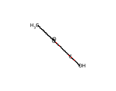 CCCCCCCCC=CCCCCCCCCCCCC(=O)OCCCCCCCCCCCCCCCCCCCCCCCCCCCCCCCCCCO